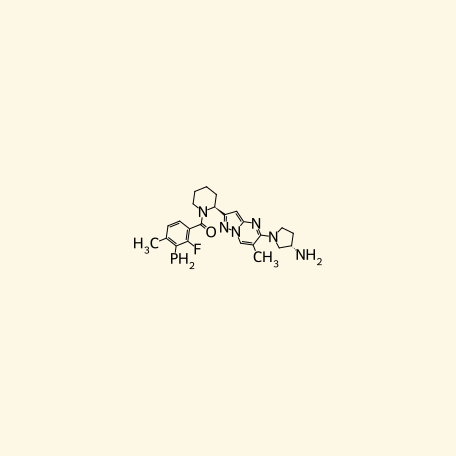 Cc1cn2nc([C@@H]3CCCCN3C(=O)c3ccc(C)c(P)c3F)cc2nc1N1CC[C@H](N)C1